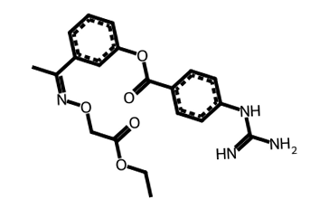 CCOC(=O)CO/N=C(/C)c1cccc(OC(=O)c2ccc(NC(=N)N)cc2)c1